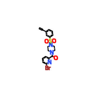 C#Cc1cccc(S(=O)(=O)N2CCN(C(=O)c3cccc(Br)n3)CC2)c1